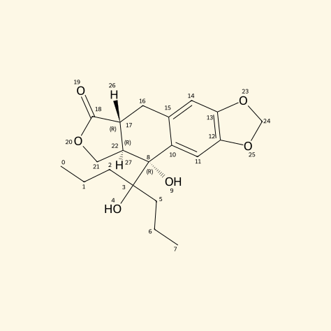 CCCC(O)(CCC)[C@]1(O)c2cc3c(cc2C[C@H]2C(=O)OC[C@@H]21)OCO3